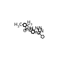 Cc1ccc(C)c(C(=O)NCc2ccc(-n3cc(C4CCCC4)c4ncnc(N)c43)cc2)c1